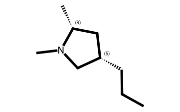 CCC[C@H]1C[C@@H](C)N(C)C1